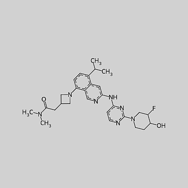 CC(C)c1ccc(N2CC(CC(=O)N(C)C)C2)c2cnc(Nc3ccnc(N4CCC(O)C(F)C4)n3)cc12